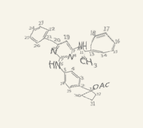 CC(=O)OC1(c2ccc(Nc3nc(N[C@@H](C)c4ccccc4)cc(-c4ccccc4)n3)cc2)CCC1